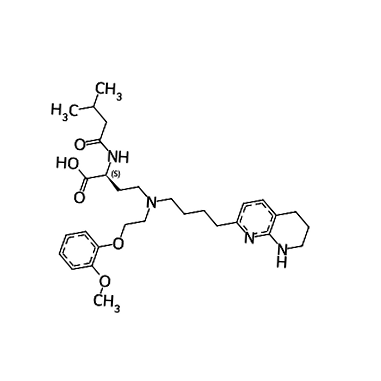 COc1ccccc1OCCN(CCCCc1ccc2c(n1)NCCC2)CC[C@H](NC(=O)CC(C)C)C(=O)O